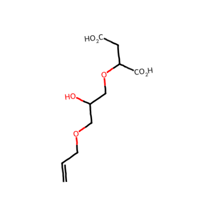 C=CCOCC(O)COC(CC(=O)O)C(=O)O